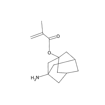 C=C(C)C(=O)OC12CC3CC(CC(N)(C3)C1)C2